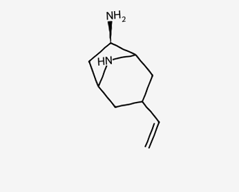 C=CC1CC2C[C@@H](N)C(C1)N2